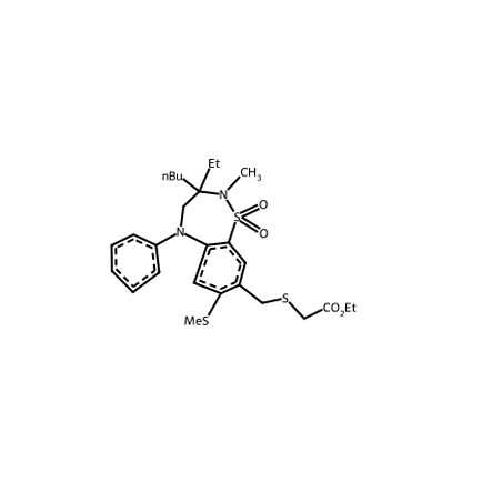 CCCCC1(CC)CN(c2ccccc2)c2cc(SC)c(CSCC(=O)OCC)cc2S(=O)(=O)N1C